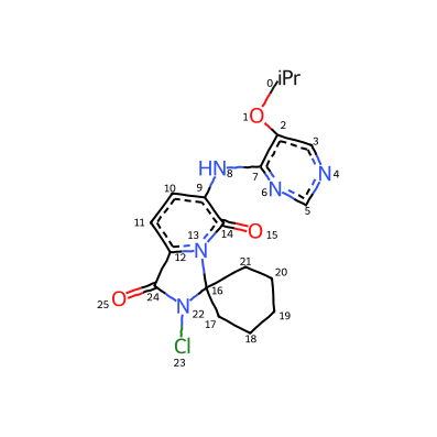 CC(C)Oc1cncnc1Nc1ccc2n(c1=O)C1(CCCCC1)N(Cl)C2=O